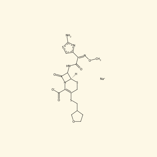 CO/N=C(\C(=O)NC1C(=O)N2C(C(=O)[O-])=C(SCC3CCOC3)CS[C@H]12)c1csc(N)n1.[Na+]